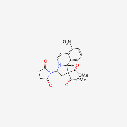 COC(=O)C1(C(=O)OC)C[C@@H](N2C(=O)CCC2=O)N2C=Cc3c(cccc3[N+](=O)[O-])[C@@H]21